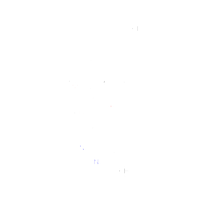 Cc1ccc(S(=O)(=O)OC2=CC(C)(C)N=N2)cc1